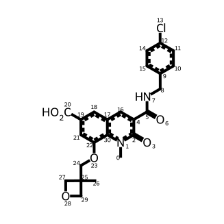 Cn1c(=O)c(C(=O)NCc2ccc(Cl)cc2)cc2cc(C(=O)O)cc(OCC3(C)COC3)c21